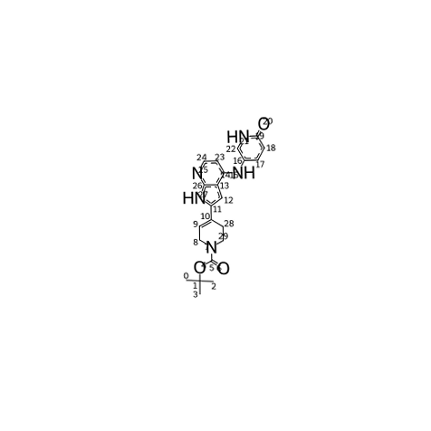 CC(C)(C)OC(=O)N1CC=C(c2cc3c(Nc4ccc(=O)[nH]c4)ccnc3[nH]2)CC1